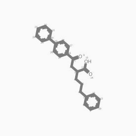 O=C(CC(CCCc1ccccc1)C(=O)O)c1ccc(-c2ccccc2)cc1